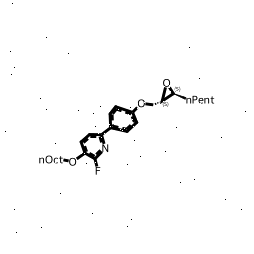 CCCCCCCCOc1ccc(-c2ccc(OC[C@@H]3O[C@H]3CCCCC)cc2)nc1F